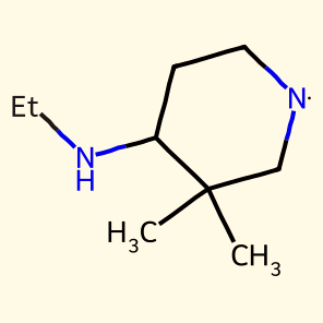 CCNC1CC[N]CC1(C)C